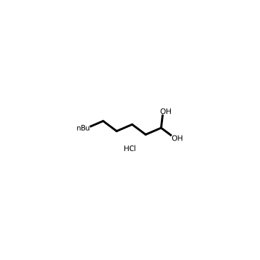 CCCCCCCCC(O)O.Cl